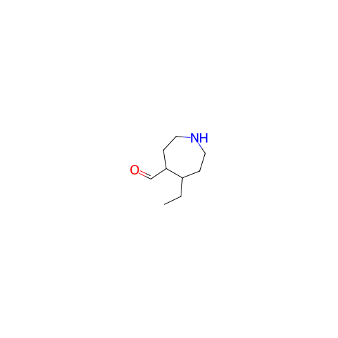 CCC1CCNCCC1C=O